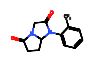 O=C1CCC2N1CC(=O)N2c1ccccc1C(F)(F)F